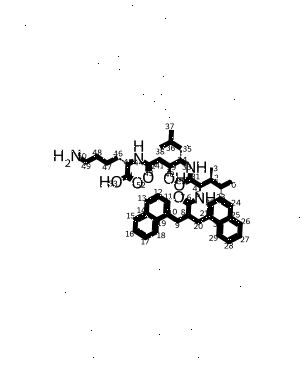 CC[C@H](C)[C@H](NC(=O)C(Cc1cccc2ccccc12)Cc1cccc2ccccc12)C(=O)N[C@@H](CC(C)C)[C@@H](O)CC(=O)N[C@@H](CCCCN)C(=O)O